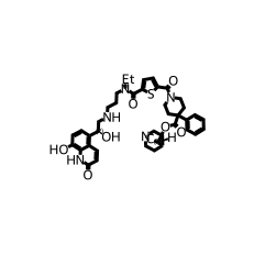 CCN(CCCNC[C@H](O)c1ccc(O)c2[nH]c(=O)ccc12)C(=O)c1ccc(C(=O)N2CCC(C(=O)O[C@H]3CN4CCC3CC4)(c3ccccc3)CC2)s1